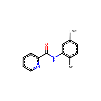 COc1ccc(C(C)=O)c(NC(=O)c2ccccn2)c1